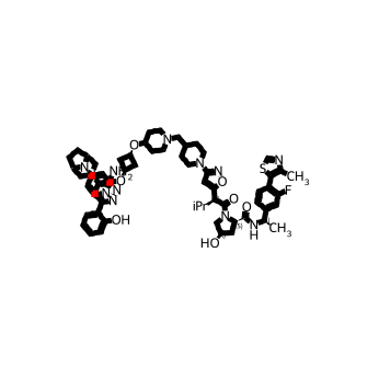 Cc1ncsc1-c1ccc([C@H](C)NC(=O)[C@@H]2C[C@@H](O)CN2C(=O)[C@H](c2cc(N3CCC(CN4CCC(O[C@H]5C[C@H](Oc6cc(N7C8CCC7CN(c7cc(-c9ccccc9O)nnc7N)C8)ccn6)C5)CC4)CC3)no2)C(C)C)cc1F